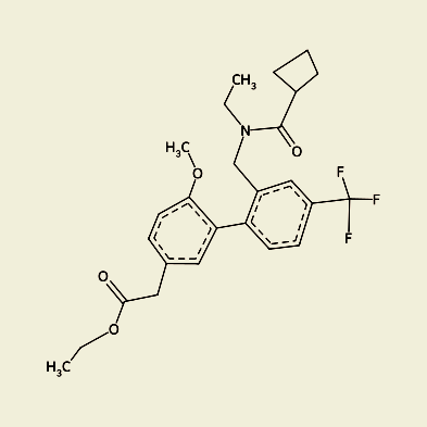 CCOC(=O)Cc1ccc(OC)c(-c2ccc(C(F)(F)F)cc2CN(CC)C(=O)C2CCC2)c1